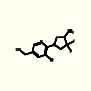 CC1CN(c2ncc(CO)cc2Br)CC1(F)F